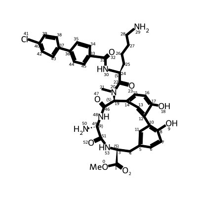 COC(=O)[C@@H]1Cc2ccc(O)c(c2)-c2cc(ccc2O)[C@H](N(C)C(=O)[C@H](CCCCN)NC(=O)c2ccc(-c3ccc(Cl)cc3)cc2)C(=O)N[C@@H](N)C(=O)N1